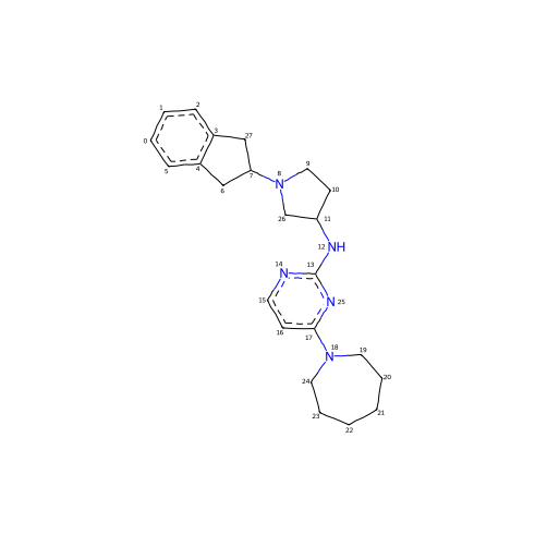 c1ccc2c(c1)CC(N1CCC(Nc3nccc(N4CCCCCC4)n3)C1)C2